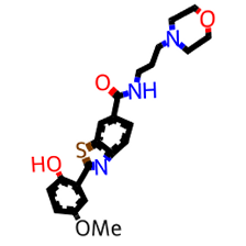 COc1ccc(O)c(-c2nc3ccc(C(=O)NCCCN4CCOCC4)cc3s2)c1